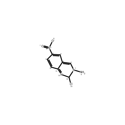 NN1C=c2cc([N+](=O)[O-])ccc2=NC1Cl